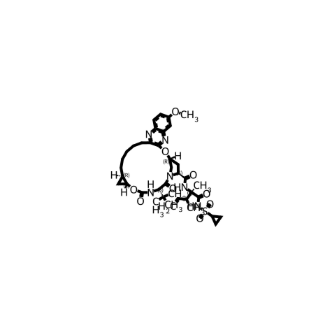 C=CC(C)[C@@](C)(NC(=O)[C@@H]1C[C@@H]2CN1C(=O)[C@H](C(C)(C)C)NC(=O)O[C@@H]1C[C@H]1CCCCCc1nc3ccc(OC)cc3nc1O2)C(=O)NS(=O)(=O)C1CC1